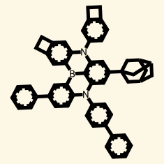 c1ccc(-c2ccc(N3c4ccc(-c5ccccc5)cc4B4c5cc6c(cc5N(c5ccc7c(c5)CC7)c5cc(C78CC9CC(C7)C(C9)C8)cc3c54)CC6)cc2)cc1